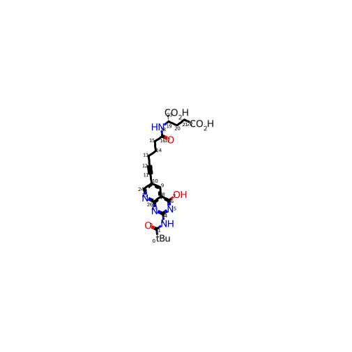 CC(C)(C)C(=O)Nc1nc(O)c2cc(C#CCCCC(=O)N[C@@H](CCC(=O)O)C(=O)O)cnc2n1